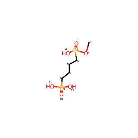 COP(=O)(O)CCCCP(=O)(O)O